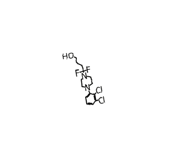 OCCCC(F)(F)N1CCN(c2cccc(Cl)c2Cl)CC1